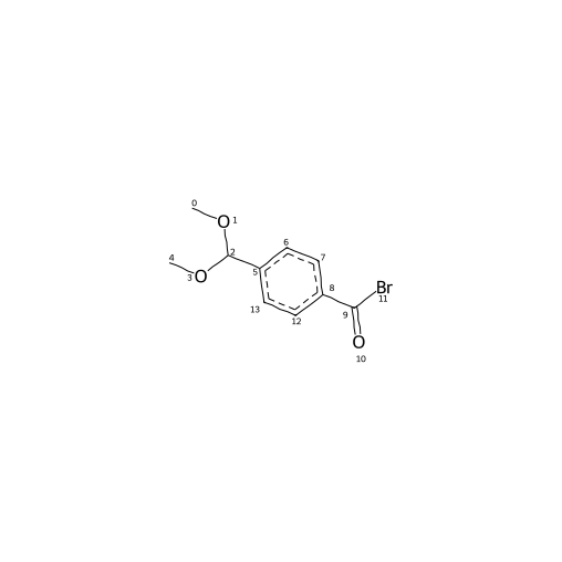 COC(OC)c1ccc(C(=O)Br)cc1